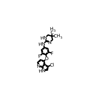 CC1(C)CN=C(Nc2cc(F)c(Oc3ccnc4[nH]cc(Cl)c34)c(F)c2)NC1